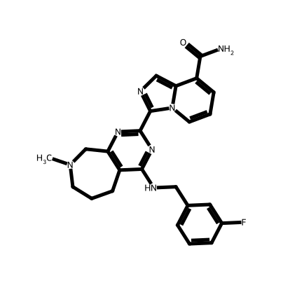 CN1CCCc2c(nc(-c3ncc4c(C(N)=O)cccn34)nc2NCc2cccc(F)c2)C1